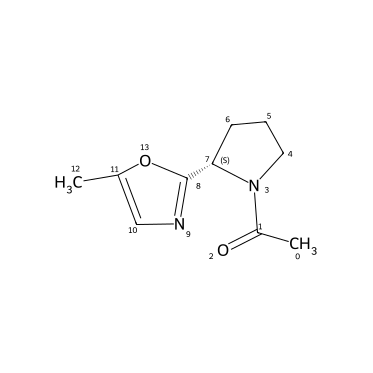 CC(=O)N1CCC[C@H]1c1ncc(C)o1